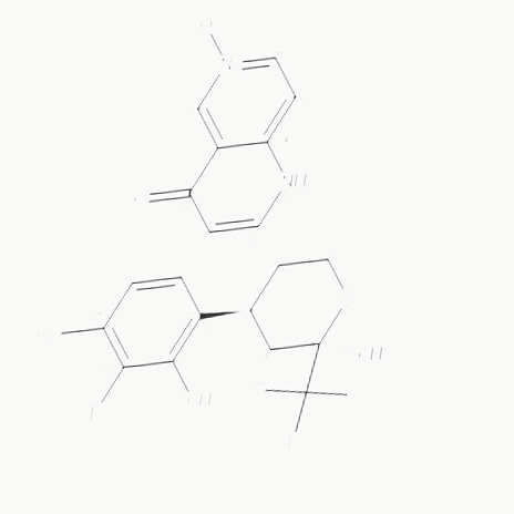 Cc1c([C@@H]2C[C@](C)(C(F)(F)F)OC[C@H]2c2cc(=O)c3c[n+]([O-])ccc3[nH]2)ccc(F)c1F